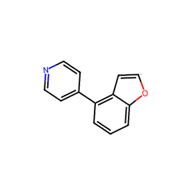 [c]1cc2c(-c3ccncc3)cccc2o1